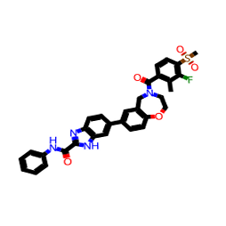 Cc1c(C(=O)N2CCOc3ccc(-c4ccc5nc(C(=O)Nc6ccccc6)[nH]c5c4)cc3C2)ccc(S(C)(=O)=O)c1F